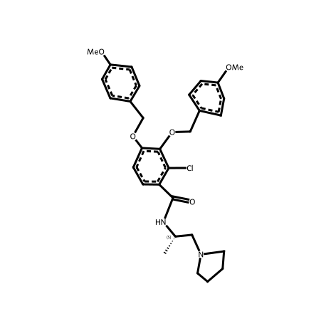 COc1ccc(COc2ccc(C(=O)N[C@@H](C)CN3CCCC3)c(Cl)c2OCc2ccc(OC)cc2)cc1